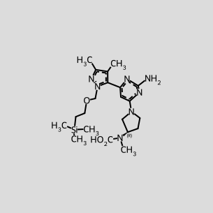 Cc1nn(COCC[Si](C)(C)C)c(-c2cc(N3CC[C@@H](N(C)C(=O)O)C3)nc(N)n2)c1C